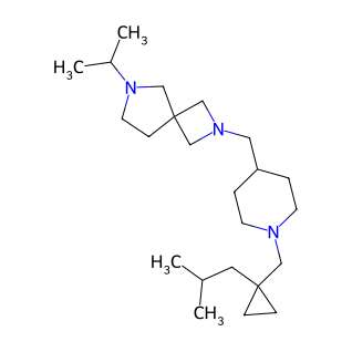 CC(C)CC1(CN2CCC(CN3CC4(CCN(C(C)C)C4)C3)CC2)CC1